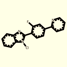 Fc1cc(-c2ccccn2)ccc1-c1nc2ccccc2n1Cl